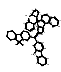 CC1(C)C2=C(CCCC2)C2CCC(/C(=C3/CCC4C5=C(CCC6=C5CCC=C6)C5(C6C=CC=CC6SC6C=CC=CC65)C4C3)C3C=CC4C(C3)OC3CCC=CC34)CC21